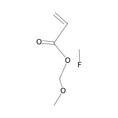 C=CC(=O)OCOC.CF